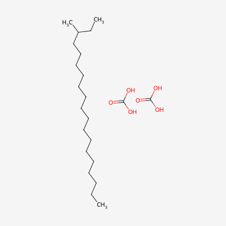 CCCCCCCCCCCCCCCCC(C)CC.O=C(O)O.O=C(O)O